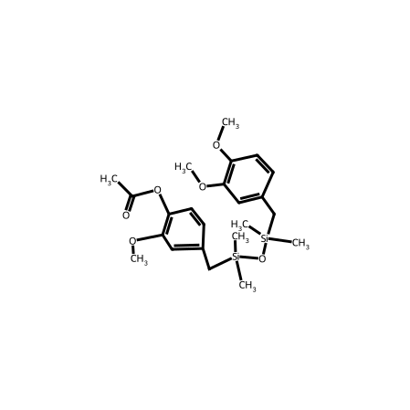 COc1ccc(C[Si](C)(C)O[Si](C)(C)Cc2ccc(OC(C)=O)c(OC)c2)cc1OC